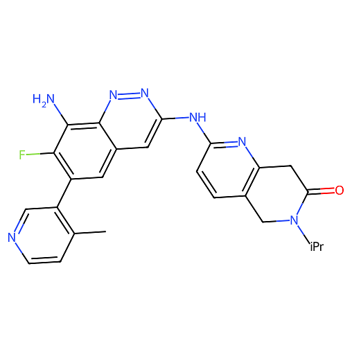 Cc1ccncc1-c1cc2cc(Nc3ccc4c(n3)CC(=O)N(C(C)C)C4)nnc2c(N)c1F